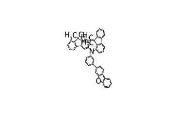 CC1(C)c2ccccc2-c2cc(N(c3cccc(-c4ccc5c(c4)oc4ccccc45)c3)c3cccc4c3C(C)(C)c3ccccc3-4)ccc21